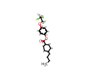 CCCCC1CCC(C(=O)Oc2ccc(OC(F)C(F)(F)F)cc2)CC1